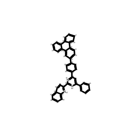 c1ccc(-c2cc(-c3ccc(-c4ccc5c6ccccc6c6ccccc6c5c4)cc3)nc(-c3ccc4ccccc4n3)n2)cc1